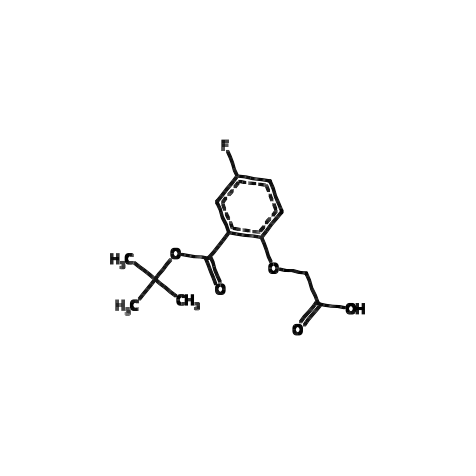 CC(C)(C)OC(=O)c1cc(F)ccc1OCC(=O)O